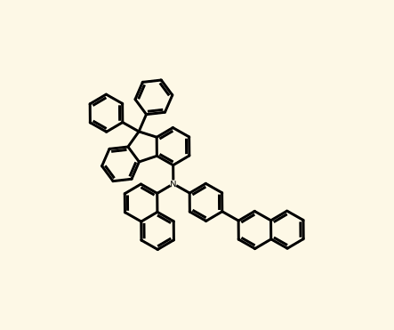 c1ccc(C2(c3ccccc3)c3ccccc3-c3c(N(c4ccc(-c5ccc6ccccc6c5)cc4)c4cccc5ccccc45)cccc32)cc1